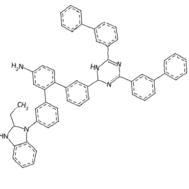 CCC1Nc2ccccc2N1c1cccc(-c2cc(N)ccc2-c2cccc(C3N=C(c4cccc(-c5ccccc5)c4)N=C(c4cccc(-c5ccccc5)c4)N3)c2)c1